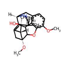 COc1ccc2c3c1OC1[C@]34CCN[C@H](C2)C4=C2C[C@@]1(OC)[C@H]2[C@@](C)(O)C(C)(C)C